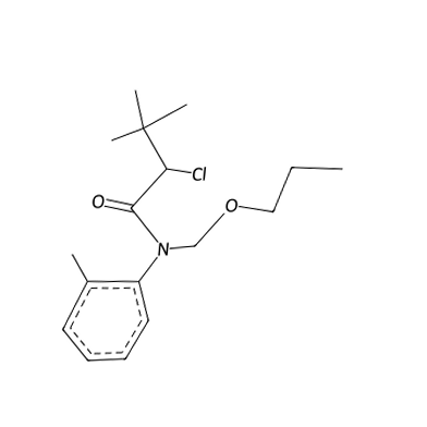 CCCOCN(C(=O)C(Cl)C(C)(C)C)c1ccccc1C